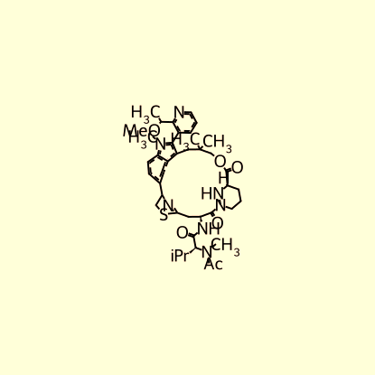 CO[C@@H](C)c1ncccc1-c1c2c3cc(ccc3n1C)C1CSC(=N1)C[C@H](NC(=O)[C@H](C(C)C)N(C)C(C)=O)C(=O)N1CCC[C@H](N1)C(=O)OCC(C)(C)C2